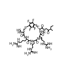 CCC(C)C(=O)CNC(=O)C1CSc2c(F)c(F)c(c(F)c2F)SCC(NS)C(=O)NC(CCCNC(=N)N)C(=O)NC(CCCNC(=N)N)C(=O)NC(CCCNC(=N)N)C(=O)N1